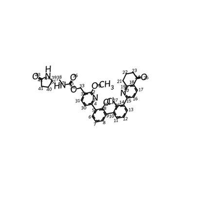 COc1nc(-c2cccc(-c3cccc(-c4ccc5c(n4)CCCC5=O)c3Cl)c2Cl)ccc1COC(=O)NC[C@@H]1CCC(=O)N1